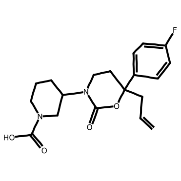 C=CCC1(c2ccc(F)cc2)CCN(C2CCCN(C(=O)O)C2)C(=O)O1